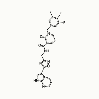 O=C(NCc1noc(-c2c[nH]c3ncccc23)n1)c1cccn(Cc2cc(F)c(F)c(F)c2)c1=O